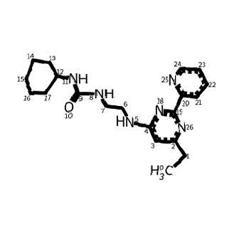 CCc1cc(NCCNC(=O)NC2CCCCC2)nc(-c2ccccn2)n1